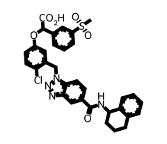 CS(=O)(=O)c1cccc(C(Oc2ccc(Cl)c(Cn3nnc4cc(C(=O)NC5CCCc6ccccc65)ccc43)c2)C(=O)O)c1